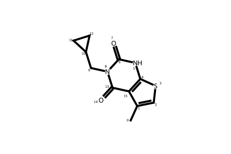 Cc1csc2[nH]c(=O)n(CC3CC3)c(=O)c12